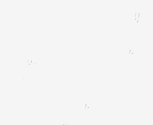 COC(=O)c1ccc2c(c1)ncn2-c1cccc(N2CCNCC2)c1